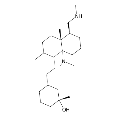 CNC[C@H]1CCC[C@@]2(N(C)C)[C@H](CC[C@H]3CCC[C@@](C)(O)C3)C(C)CC[C@]12C